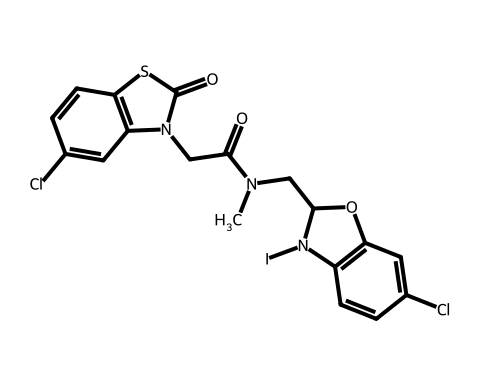 CN(CC1Oc2cc(Cl)ccc2N1I)C(=O)Cn1c(=O)sc2ccc(Cl)cc21